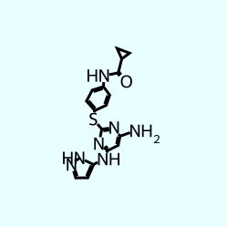 Nc1cc(Nc2ccn[nH]2)nc(Sc2ccc(NC(=O)C3CC3)cc2)n1